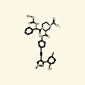 Cc1ccc(O)c(-c2nn(C)cc2C#Cc2ccc(NC(=O)[C@@H]3CN(C(=O)C(F)(F)F)CCN3C(=O)[C@H](NC(=O)OC(C)(C)C)c3ccccc3)cc2)c1